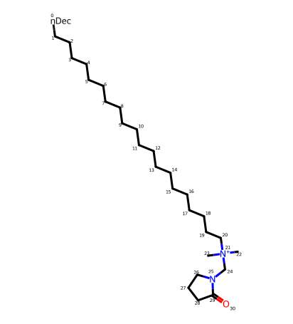 CCCCCCCCCCCCCCCCCCCCCCCCCCCCCC[N+](C)(C)CN1CCCC1=O